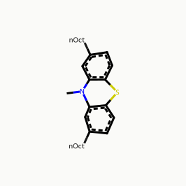 CCCCCCCCc1ccc2c(c1)N(C)c1cc(CCCCCCCC)ccc1S2